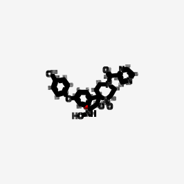 O=C(CC1(c2ccc(Oc3ccc(Cl)cc3)cc2)CCN(C(=O)c2cnccn2)CCS1(=O)=O)NO